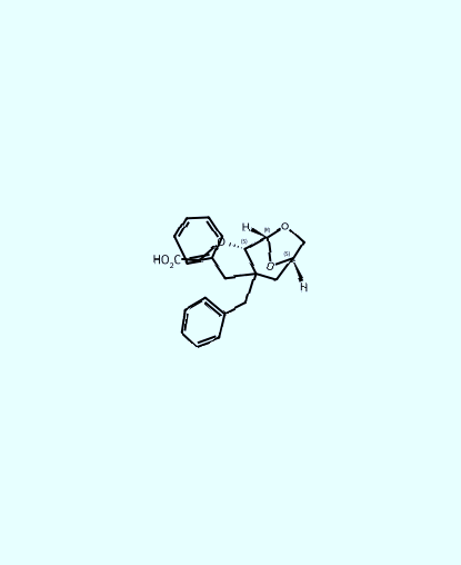 O=C(O)CO[C@@H]1[C@@H]2OC[C@H](CC1(Cc1ccccc1)Cc1ccccc1)O2